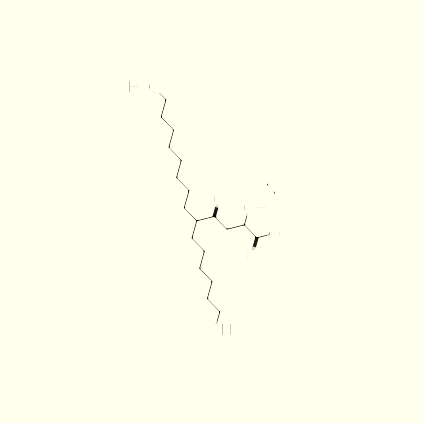 CCCCCCCCCC(CCCCCCC)C(=O)CC(O)C(=O)[O-].[Na+]